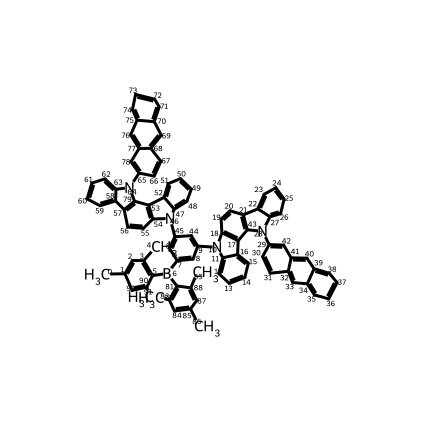 Cc1cc(C)c(B(c2cc(-n3c4ccccc4c4c3ccc3c5ccccc5n(-c5ccc6cc7ccccc7cc6c5)c34)cc(-n3c4ccccc4c4c3ccc3c5ccccc5n(-c5ccc6cc7ccccc7cc6c5)c34)c2)c2c(C)cc(C)cc2C)c(C)c1